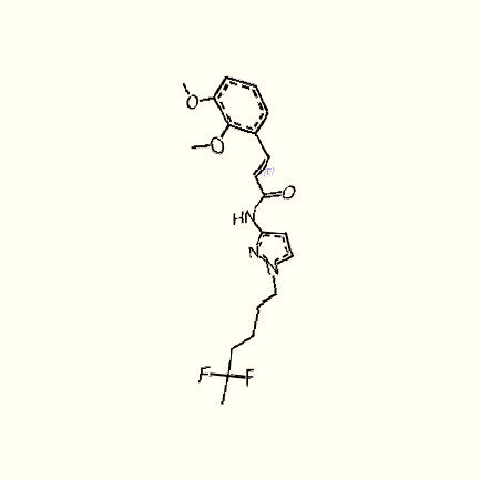 COc1cccc(/C=C/C(=O)Nc2ccn(CCCCC(C)(F)F)n2)c1OC